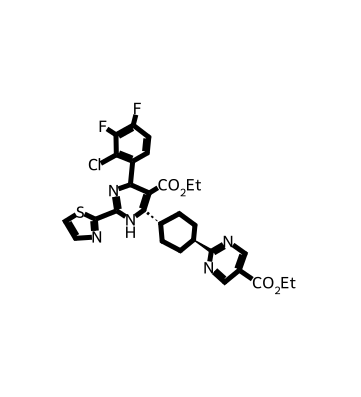 CCOC(=O)C1=C([C@H]2CC[C@H](c3ncc(C(=O)OCC)cn3)CC2)NC(c2nccs2)=NC1c1ccc(F)c(F)c1Cl